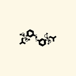 CO[Si](CC(C)C)(OC)c1cccc(SSc2cccc([Si](CC(C)C)(OC)OC)c2)c1